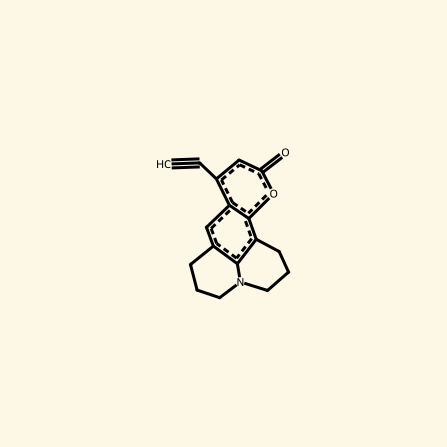 C#Cc1cc(=O)oc2c3c4c(cc12)CCCN4CCC3